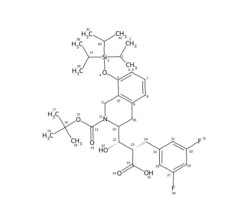 CC(C)[Si](Oc1cccc2c1CN(C(=O)OC(C)(C)C)C([C@@H](O)[C@H](Cc1cc(F)cc(F)c1)C(=O)O)C2)(C(C)C)C(C)C